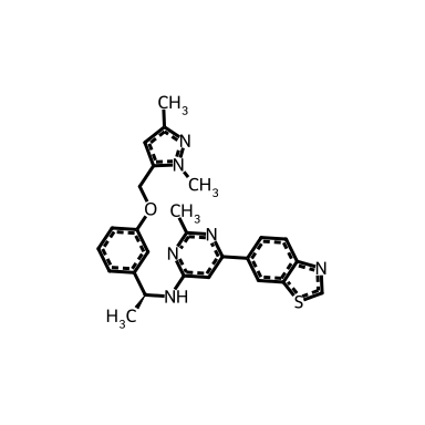 Cc1cc(COc2cccc([C@H](C)Nc3cc(-c4ccc5ncsc5c4)nc(C)n3)c2)n(C)n1